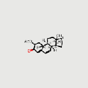 CC(=O)OC1C[C@H]2C(=CC1=O)C=C[C@@H]1[C@@H]2CC[C@]2(C)CCC[C@@H]12